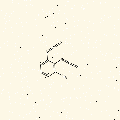 Cc1cccc(N=C=O)c1N=C=O